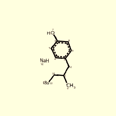 CC(Cc1ccc(O)cc1)CC(C)(C)C.[NaH]